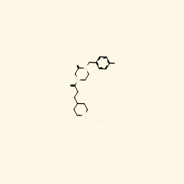 O=C(O)N1CCC(CCC(=O)N2CCN(Cc3ccc(F)cc3)C(=O)C2)CC1